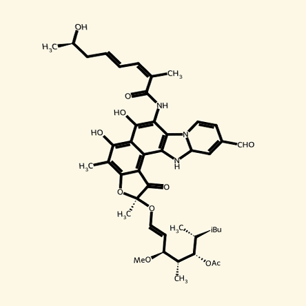 CC[C@H](C)[C@@H](C)[C@H](OC(C)=O)[C@H](C)[C@H](/C=C/O[C@@]1(C)Oc2c(C)c(O)c3c(O)c(NC(=O)/C(C)=C\C=C\C[C@@H](C)O)c4c(c3c2C1=O)NC1C=C(C=O)C=CN41)OC